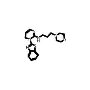 [CH]1C=CN=C(NCCCN2CCOCC2)N1c1nc2ccccc2s1